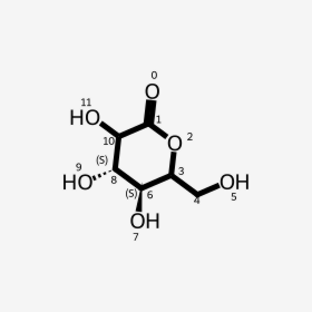 O=C1OC(CO)[C@@H](O)[C@H](O)C1O